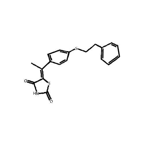 CC(=C1SC(=O)NC1=O)c1ccc(SCCc2ccccc2)cc1